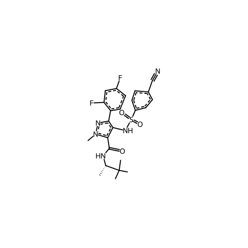 C[C@H](NC(=O)c1c(NS(=O)(=O)c2ccc(C#N)cc2)c(-c2ccc(F)cc2F)nn1C)C(C)(C)C